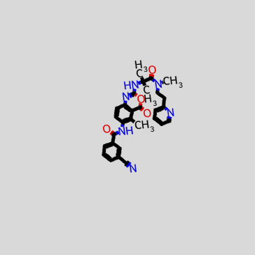 Cc1c(NC(=O)c2cccc(C#N)c2)ccc2nc(NC(C)(C)C(=O)N(C)CCc3ccccn3)oc(=O)c12